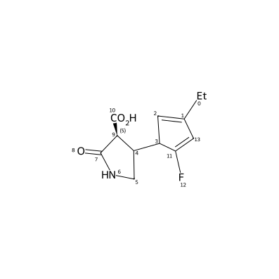 CCC1=CC(C2CNC(=O)[C@H]2C(=O)O)C(F)=C1